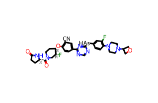 N#Cc1cc(-c2ncnc([AsH]c3ccc(N4CCN(C5COC5)CC4)c(F)c3)n2)ccc1O[C@H]1CCN(C(=O)[C@@H]2CCC(=O)N2)C[C@H]1F